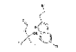 CC(C)(C)OC=O.Clc1ccc2[nH]c(CCBr)cc2c1